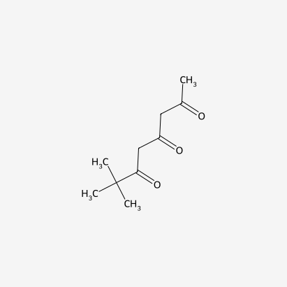 CC(=O)CC(=O)CC(=O)C(C)(C)C